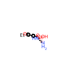 CCOC12CCC(c3ccc(C(=O)N[C@@H](CCCN)OBO)cc3)(CC1)CC2